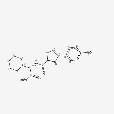 CNC(=O)[C@@H](NC(=O)C1CC=C(c2ccc([N+](=O)[O-])cc2)O1)C1CCCCC1